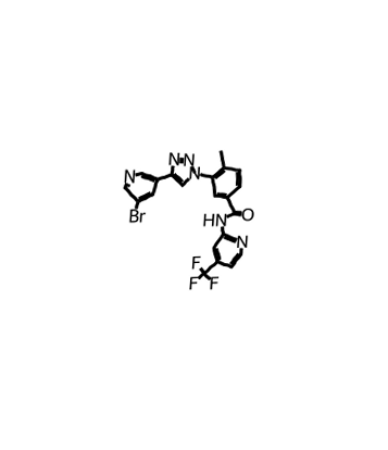 Cc1ccc(C(=O)Nc2cc(C(F)(F)F)ccn2)cc1-n1cc(-c2cncc(Br)c2)nn1